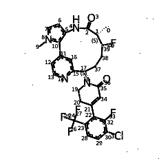 C[C@H]1C(=O)Nc2ccn(C)c2-c2ccnc(c2)[C@@H](N2CCC(c3c(C(F)(F)F)ccc(Cl)c3F)=CC2=O)CCC1F